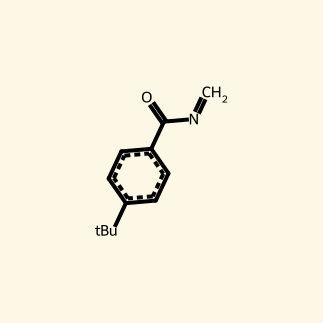 C=NC(=O)c1ccc(C(C)(C)C)cc1